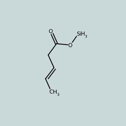 CC=CCC(=O)O[SiH3]